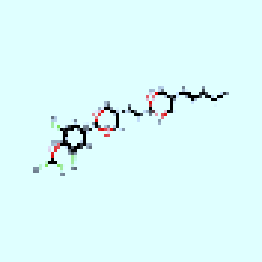 CCCC=C[C@H]1CO[C@H](CC[C@H]2CO[C@H](c3cc(F)c(OC(F)F)c(F)c3)OC2)OC1